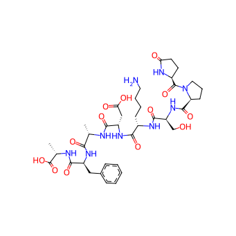 C[C@H](NC(=O)[C@H](Cc1ccccc1)NC(=O)[C@H](C)NC(=O)[C@H](CC(=O)O)NC(=O)[C@H](CCCCN)NC(=O)[C@H](CO)NC(=O)[C@@H]1CCCN1C(=O)[C@@H]1CCC(=O)N1)C(=O)O